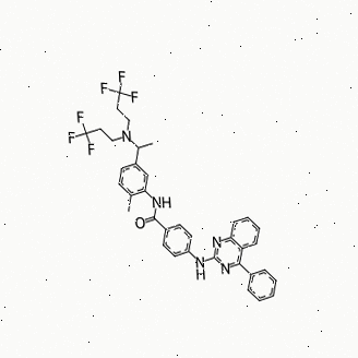 Cc1ccc(C(C)N(CCC(F)(F)F)CCC(F)(F)F)cc1NC(=O)c1ccc(Nc2nc(-c3ccccc3)c3ccccc3n2)cc1